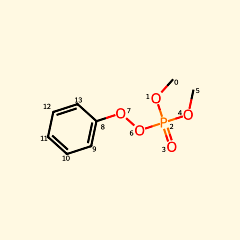 COP(=O)(OC)OOc1ccccc1